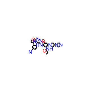 C=CC(=O)Nc1cc(Nc2cc(N3OCC[C@@H]3c3cccc(C#N)c3)ncn2)c(OC)cc1N1CCC(N2CCN(C)CC2)CC1